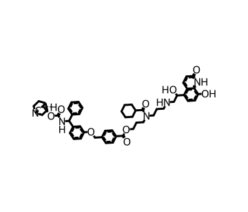 O=C(NC(c1ccccc1)c1cccc(OCc2ccc(C(=O)OCCCN(CCCNCC(O)c3ccc(O)c4[nH]c(=O)ccc34)C(=O)C3CCCCC3)cc2)c1)O[C@H]1CN2CCC1CC2